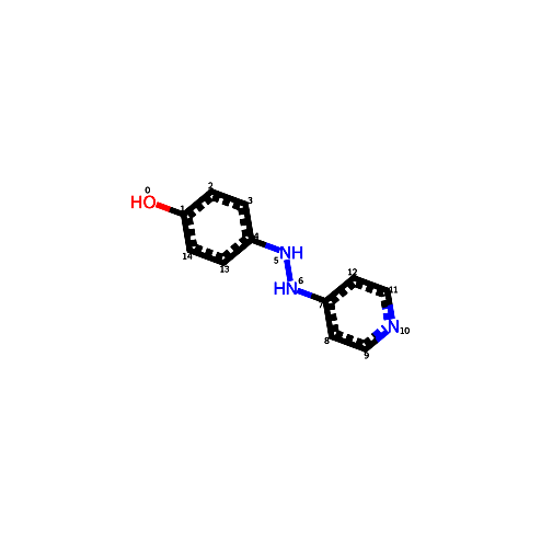 Oc1ccc(NNc2ccncc2)cc1